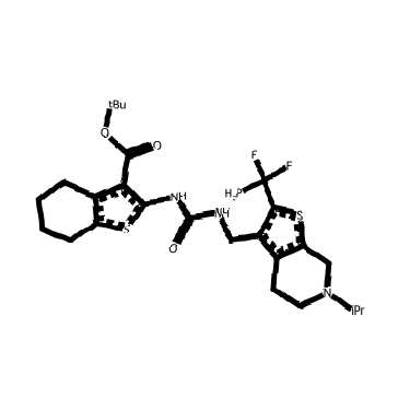 CC(C)N1CCc2c(sc(C(F)(F)P)c2CNC(=O)Nc2sc3c(c2C(=O)OC(C)(C)C)CCCC3)C1